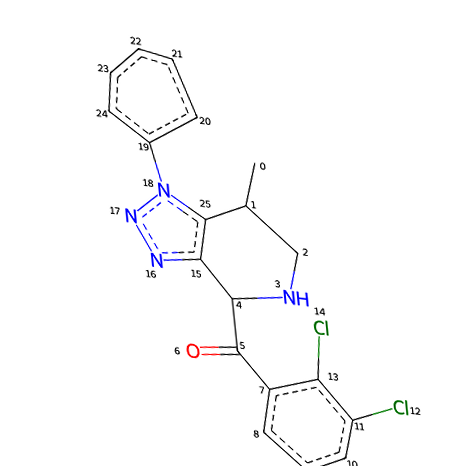 CC1CNC(C(=O)c2cccc(Cl)c2Cl)c2nnn(-c3ccccc3)c21